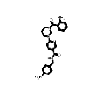 Nc1ccccc1C(=O)N1CCCN(c2ccc(C(=O)NCc3ccc([N+](=O)[O-])cc3)cn2)C1